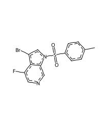 Cc1ccc(S(=O)(=O)n2cc(Br)c3c(F)cncc32)cc1